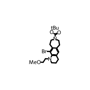 COCCN1CCCc2cc3c(c(Br)c21)CCN(C(=O)OC(C)(C)C)CC3